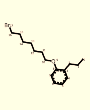 CCCc1ccccc1OCCCCCCCBr